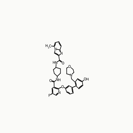 Cc1cccc2nc(C(=O)NC3CCC(NC(=O)c4cc(F)cnc4Oc4cccc(-c5ccc(O)cc5CN5CCOCC5)c4)CC3)cn12